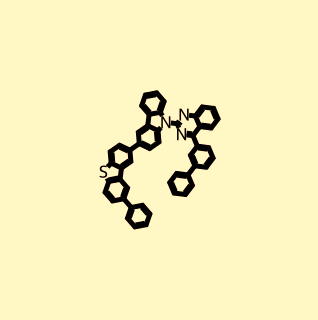 c1ccc(-c2cccc(-c3nc(-n4c5ccccc5c5cc(-c6ccc7sc8ccc(-c9ccccc9)cc8c7c6)ccc54)nc4ccccc34)c2)cc1